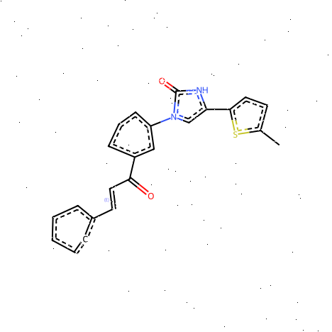 Cc1ccc(-c2cn(-c3cccc(C(=O)/C=C/c4ccccc4)c3)c(=O)[nH]2)s1